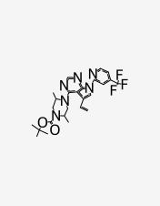 C=Cc1cn(-c2cc(C(F)(F)F)ccn2)c2ncnc(N3CC(C)N(C(=O)OC(C)(C)C)CC3C)c12